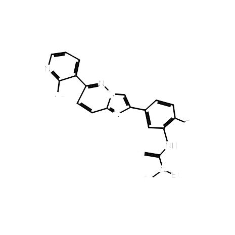 CCN(CC)C(=O)Nc1cc(-c2cn3nc(-c4cccnc4C(F)(F)F)ccc3n2)ccc1F